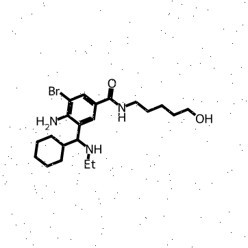 CCNC(c1cc(C(=O)NCCCCCO)cc(Br)c1N)C1CCCCC1